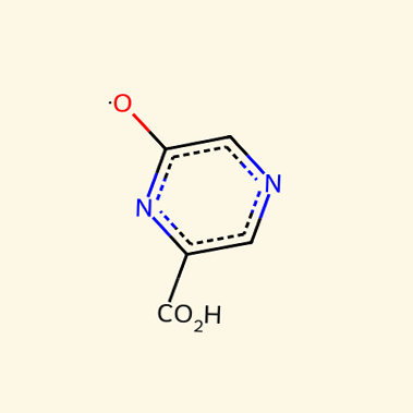 [O]c1cncc(C(=O)O)n1